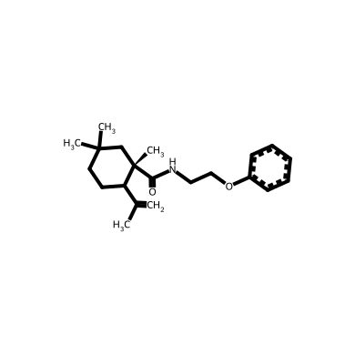 C=C(C)C1CCC(C)(C)C[C@]1(C)C(=O)NCCOc1ccccc1